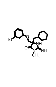 CCC1=CC=CC(OCC2(CC3CCCCC3)NC(=N)N(C)C2=O)C1